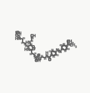 C#CCNC(=O)C(CCCCNCOC(C)(C)C)NC(=O)CCSP(=O)(O)OCCNC(=O)c1ccc(/N=N/c2ccc(N(C)C)cc2)cc1